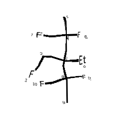 CCC(CF)(C(C)(F)F)C(C)(F)F